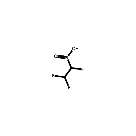 O=S(O)C(F)C(F)F